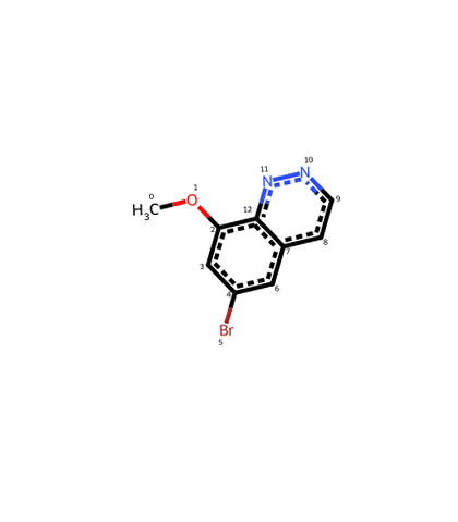 COc1cc(Br)cc2ccnnc12